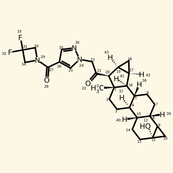 C[C@]12CC[C@H]3[C@@H](CC[C@@H]4C5C[C@@]5(O)CC[C@H]34)[C@@H]1[C@@H]1C[C@@H]1[C@@H]2C(=O)Cn1cc(C(=O)N2CC(F)(F)C2)cn1